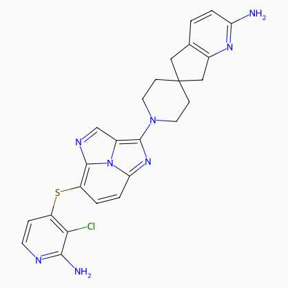 Nc1ccc2c(n1)CC1(CCN(c3nc4ccc(Sc5ccnc(N)c5Cl)c5ncc3n45)CC1)C2